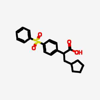 O=C(O)C(CC1CCCC1)c1ccc(S(=O)(=O)c2ccccc2)cc1